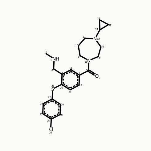 CNCc1cc(C(=O)N2CCCN(C3CC3)CC2)ccc1Sc1ccc(Cl)cc1